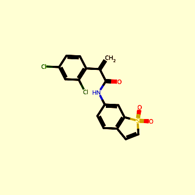 C=C(C(=O)Nc1ccc2c(c1)S(=O)(=O)C=C2)c1ccc(Cl)cc1Cl